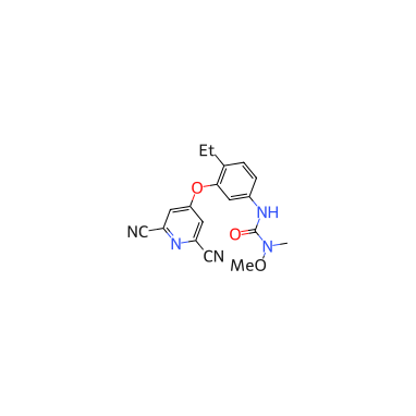 CCc1ccc(NC(=O)N(C)OC)cc1Oc1cc(C#N)nc(C#N)c1